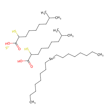 CC(C)CCCCCC(S)C(=O)O.CC(C)CCCCCC(S)C(=O)O.CCCCCCC[CH2][Sn+2][CH2]CCCCCCC.[S-2]